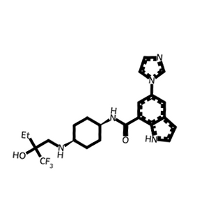 CCC(O)(CN[C@H]1CC[C@@H](NC(=O)c2cc(-n3ccnc3)cc3cc[nH]c23)CC1)C(F)(F)F